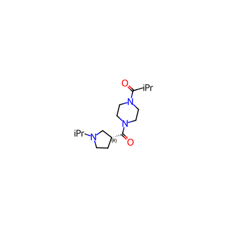 CC(C)C(=O)N1CCN(C(=O)[C@@H]2CCN(C(C)C)C2)CC1